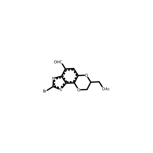 CC(=O)OCC1COc2c(cc(C=O)c3nc(Br)sc23)O1